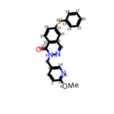 COc1ccc(Cn2ncc3cc(Sc4ccccc4)ccc3c2=O)cn1